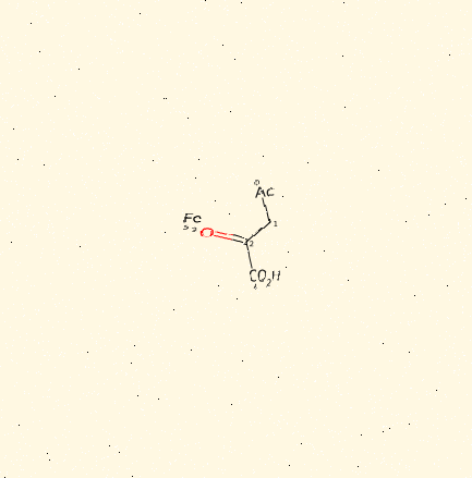 CC(=O)CC(=O)C(=O)O.[Fe]